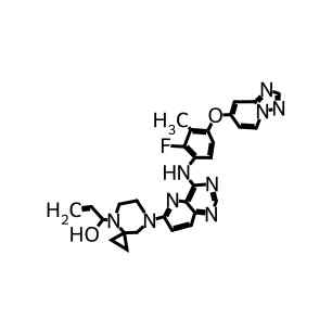 C=CC(O)N1CCN(c2ccc3ncnc(Nc4ccc(Oc5ccn6ncnc6c5)c(C)c4F)c3n2)CC12CC2